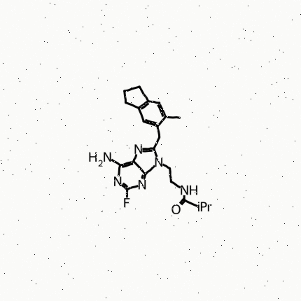 Cc1cc2c(cc1Cc1nc3c(N)nc(F)nc3n1CCNC(=O)C(C)C)CCC2